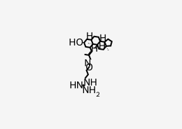 CC(/C=N/OCCCNC(=N)N)=C\C1C[C@H](O)C[C@H]2CC[C@H]3[C@@H]4CCC[C@@]4(C)CC[C@@H]3[C@@]12C